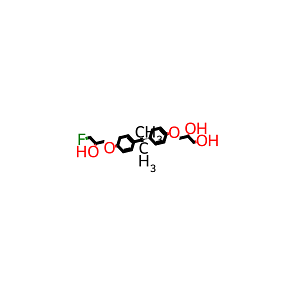 CC(C)(C1=CCC(OCC(O)CF)C=C1)[C@H]1C=CC(OC[C@@H](O)CO)=CC1